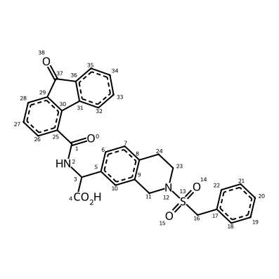 O=C(NC(C(=O)O)c1ccc2c(c1)CN(S(=O)(=O)Cc1ccccc1)CC2)c1cccc2c1-c1ccccc1C2=O